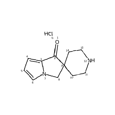 Cl.O=C1c2cccn2CC12CCNCC2